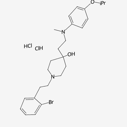 CC(C)Oc1ccc(N(C)CCC2(O)CCN(CCc3ccccc3Br)CC2)cc1.Cl.Cl